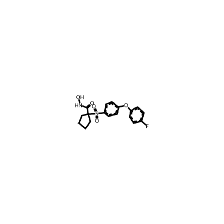 O=C(NO)C1(S(=O)(=O)c2ccc(Oc3ccc(F)cc3)cc2)C[CH]CC1